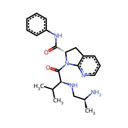 CC(C)[C@H](NC[C@H](C)N)C(=O)N1c2ncccc2C[C@H]1C(=O)Nc1ccccc1